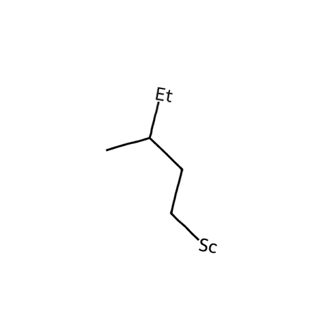 CCC(C)C[CH2][Sc]